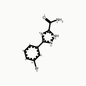 NC(=O)c1nc(-c2cccc(Br)c2)n[nH]1